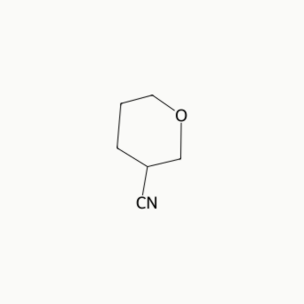 N#CC1CCCOC1